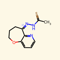 CC(=S)N/N=C1/CCCOc2cccnc21